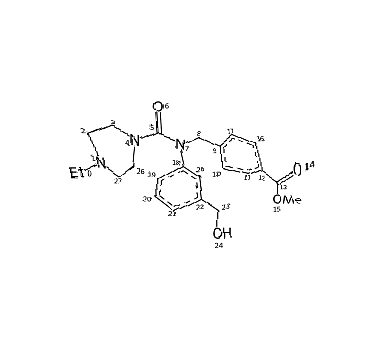 CCN1CCN(C(=O)N(Cc2ccc(C(=O)OC)cc2)c2cccc(CO)c2)CC1